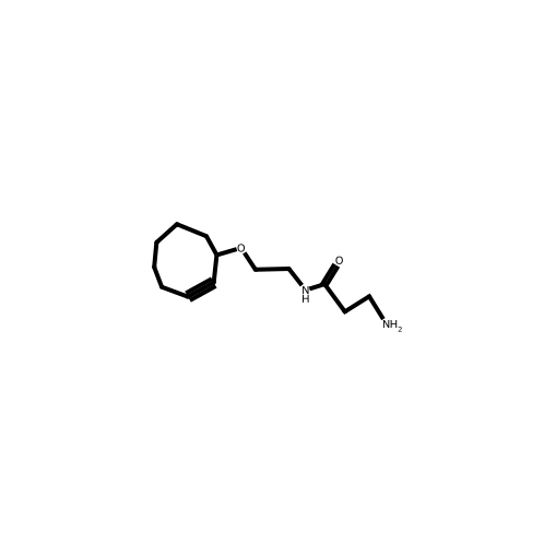 NCCC(=O)NCCOC1C#CCCCCC1